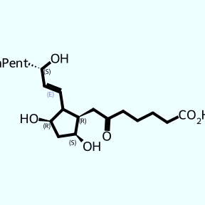 CCCCC[C@H](O)/C=C/C1[C@H](O)C[C@H](O)[C@@H]1CC(=O)CCCCC(=O)O